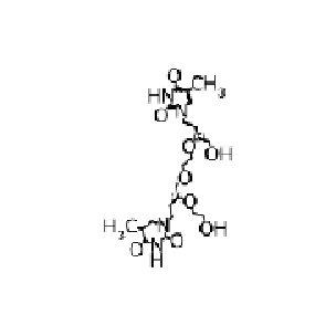 Cc1cn(CC[C@@H](CO)OCCOC[C@H](CCN2CC(C)C(=O)NC2=O)OCCO)c(=O)[nH]c1=O